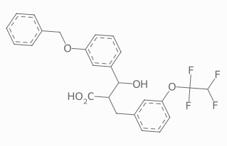 O=C(O)C(Cc1cccc(OC(F)(F)C(F)F)c1)C(O)c1cccc(OCc2ccccc2)c1